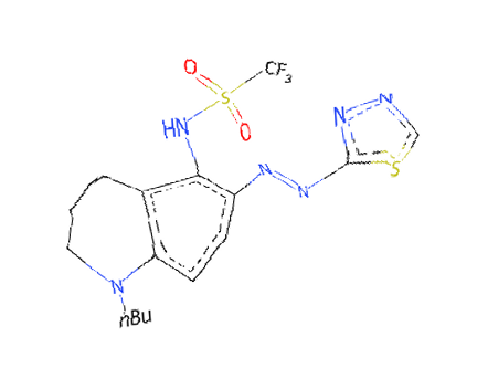 CCCCN1CCCc2c1ccc(N=Nc1nncs1)c2NS(=O)(=O)C(F)(F)F